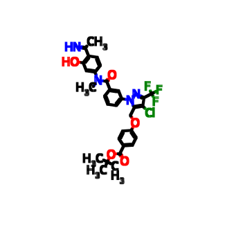 CC(=N)c1ccc(N(C)C(=O)c2cccc(-n3nc(C(F)(F)F)c(Cl)c3COc3ccc(C(=O)OC(C)(C)C)cc3)c2)cc1O